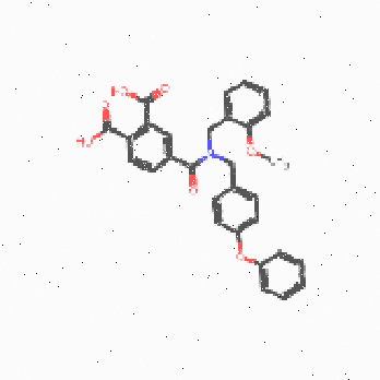 COc1ccccc1CN(Cc1ccc(Oc2ccccc2)cc1)C(=O)c1ccc(C(=O)O)c(C(=O)O)c1